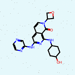 O=c1c2c(NC3CCC(O)CC3)nc(Nc3cnccn3)cc2ccn1C1COC1